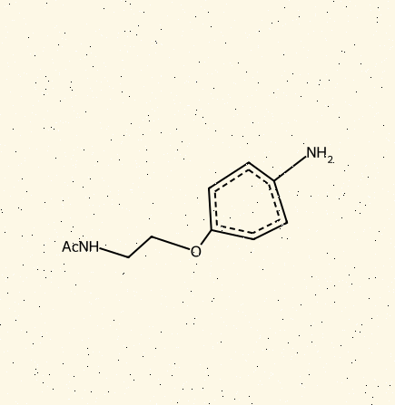 CC(=O)NCCOc1ccc(N)cc1